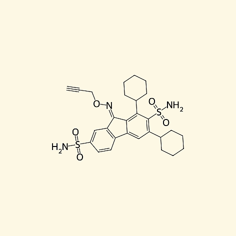 C#CCON=C1c2cc(S(N)(=O)=O)ccc2-c2cc(C3CCCCC3)c(S(N)(=O)=O)c(C3CCCCC3)c21